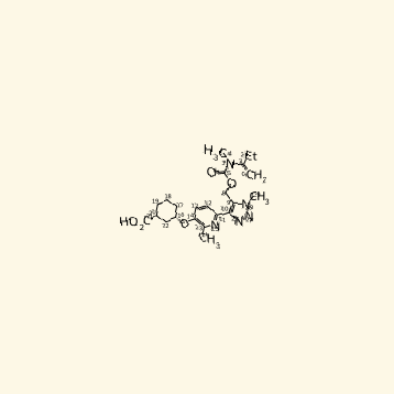 C=C(CC)N(C)C(=O)OCc1c(-c2ccc(O[C@H]3CCC[C@H](C(=O)O)C3)c(C)n2)nnn1C